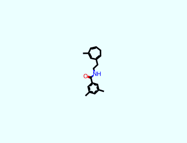 CC1=CC(CCNC(=O)c2cc(C)cc(C)c2)=CCC=C1